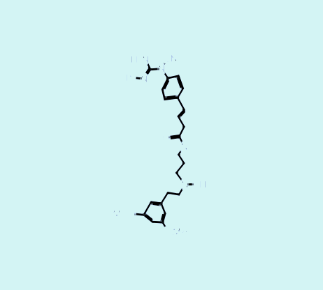 COc1cc(CCN(C)CCCNC(=O)C/C=C/c2ccc(N(C#N)C(N)=NC(C)C)cc2)cc(OC)c1